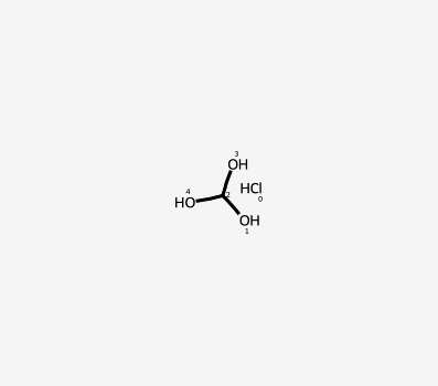 Cl.OC(O)O